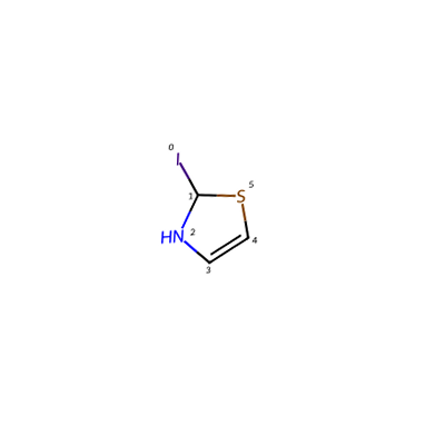 IC1NC=CS1